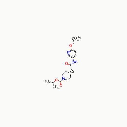 O=C(O)COc1ccc(NC(=O)[C@H]2CC23CCN(C(=O)OC(C(F)(F)F)C(F)(F)F)CC3)cn1